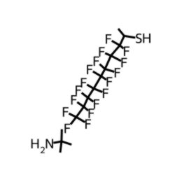 CC(C)(C)N.CC(S)C(F)(F)C(F)(F)C(F)(F)C(F)(F)C(F)(F)C(F)(F)C(F)(F)C(F)(F)F